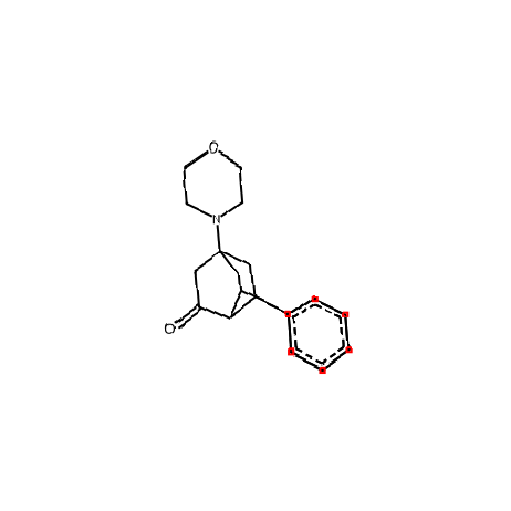 O=C1CC2(N3CCOCC3)CC(c3ccccc3)C1C(c1ccccc1)C2